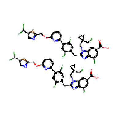 O=C(O)c1cc(F)c2nc(Cc3cc(F)c(-c4cccc(OCc5ncc(C(F)F)s5)n4)cc3F)n(CC3(CF)CC3)c2c1.O=C(O)c1cc(F)c2nc(Cc3cc(F)c(-c4cccc(OCc5ncc(C(F)F)s5)n4)cc3F)n(CC3(CF)CC3)c2c1